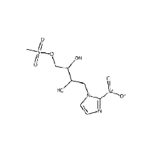 CS(=O)(=O)OCC(O)C(O)Cn1ccnc1[N+](=O)[O-]